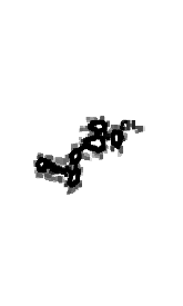 Cc1cccc(-n2c3ccccc3c3cc(-c4ccc5c(c4)c4ccccc4n5-c4ccccc4)ccc32)c1